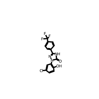 O=c1[nH]c(-c2ccc(C(F)(F)F)cc2)nn1-c1cc(Cl)ccc1O